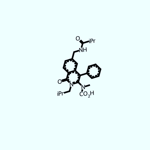 CC(C)Cn1c(N(C)C(=O)O)c(-c2ccccc2)c2cc(CNC(=O)C(C)C)ccc2c1=O